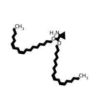 CCCCC/C=C\C/C=C\CCCCCCCCOC(OCCCCCCCC/C=C\C/C=C\CCCCC)C1(N)CC1